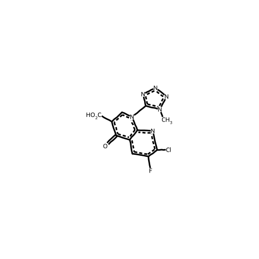 Cn1nnnc1-n1cc(C(=O)O)c(=O)c2cc(F)c(Cl)nc21